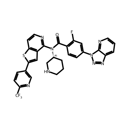 O=C(c1ccc(-n2nnc3cccnc32)cc1F)N(c1nccc2sc(-c3ccc(C(F)(F)F)nc3)cc12)[C@@H]1CCCNC1